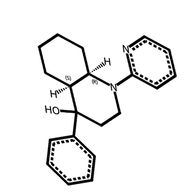 OC1(c2ccccc2)CCN(c2ccccn2)[C@@H]2CCCC[C@@H]21